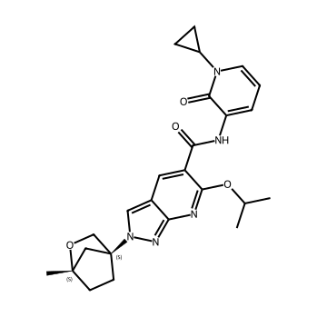 CC(C)Oc1nc2nn([C@@]34CC[C@@](C)(C3)OC4)cc2cc1C(=O)Nc1cccn(C2CC2)c1=O